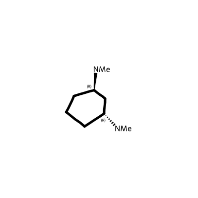 CN[C@@H]1CCC[C@@H](NC)C1